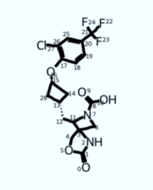 O=C1NC2(CO1)CN(C(=O)O)C2C[C@H]1C[C@H](Oc2ccc(C(F)(F)F)cc2Cl)C1